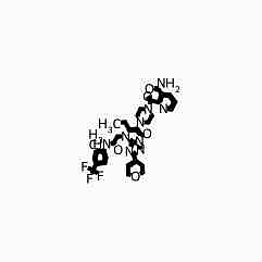 CCc1c(N2CCN(C(=O)c3ncccc3C(N)=O)CC2)c(=O)n2nc(C3=CCOCC3)nc2n1CC(=O)Nc1ccc(C(F)(F)F)cc1C